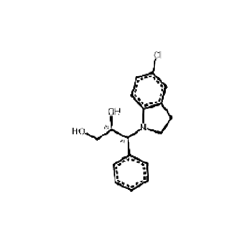 OC[C@@H](O)[C@H](c1ccccc1)N1CCc2cc(Cl)ccc21